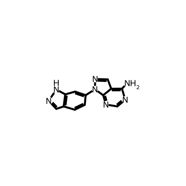 Nc1ncnc2c1cnn2-c1ccc2cn[nH]c2c1